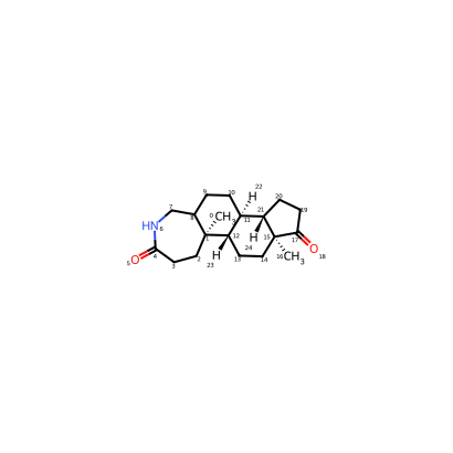 C[C@]12CCC(=O)NCC1CC[C@@H]1[C@@H]2CC[C@]2(C)C(=O)CC[C@@H]12